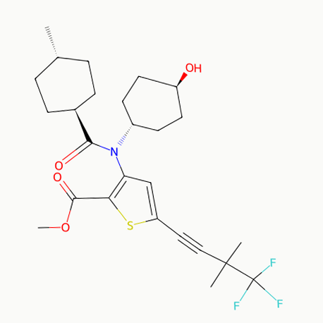 COC(=O)c1sc(C#CC(C)(C)C(F)(F)F)cc1N(C(=O)[C@H]1CC[C@H](C)CC1)[C@H]1CC[C@H](O)CC1